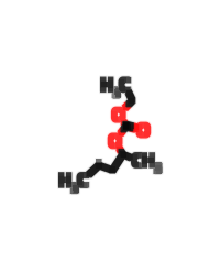 C[CH]CC(C)OC(=O)OCC